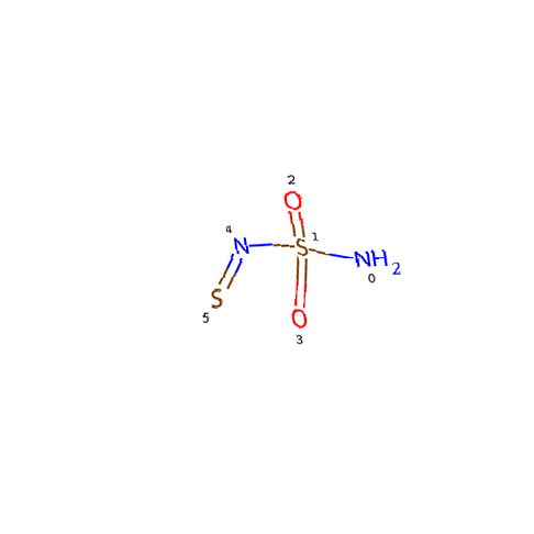 NS(=O)(=O)N=S